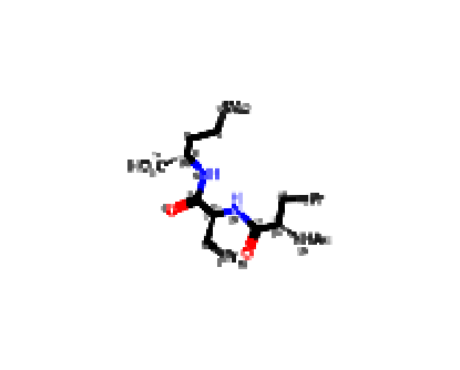 CSCC[C@H](NC(=O)[C@H](CC(C)C)NC(=O)[C@H](CC(C)C)NC(C)=O)C(=O)O